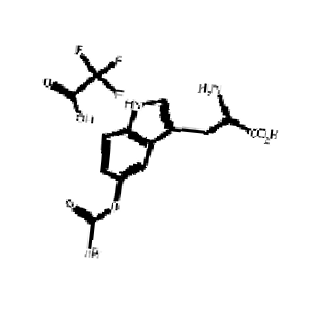 CCCC(=O)Oc1ccc2[nH]cc(CC(N)C(=O)O)c2c1.O=C(O)C(F)(F)F